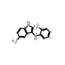 FC(F)(F)c1ccc2[nH]cc(Nc3ccccc3C(F)(F)F)c2c1